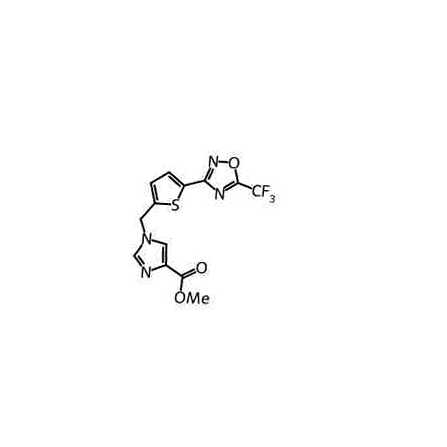 COC(=O)c1cn(Cc2ccc(-c3noc(C(F)(F)F)n3)s2)cn1